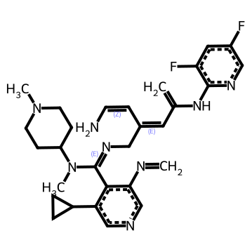 C=Nc1cncc(C2CC2)c1/C(=N\CC(/C=C\N)=C/C(=C)Nc1ncc(F)cc1F)N(C)C1CCN(C)CC1